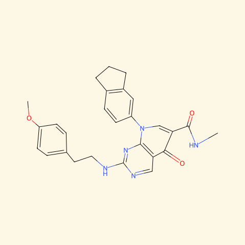 CNC(=O)c1cn(-c2ccc3c(c2)CCC3)c2nc(NCCc3ccc(OC)cc3)ncc2c1=O